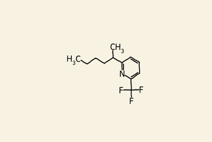 CCCCC(C)c1cccc(C(F)(F)F)n1